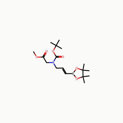 COC(=O)CN(C/C=C/B1OC(C)(C)C(C)(C)O1)C(=O)OC(C)(C)C